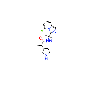 C[C@@H](C(=O)NC(C)(C)c1ncc2cccc(F)n12)[C@H]1CCNC1